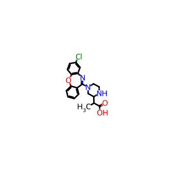 CC(C(=O)O)C1CN(C2=Nc3cc(Cl)ccc3Oc3ccccc32)CCN1